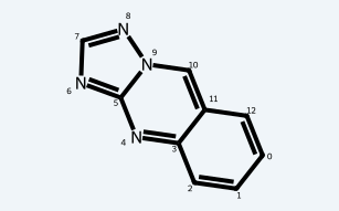 c1ccc2nc3ncnn3cc2c1